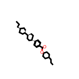 CCCC1CCC(OC(=O)c2ccc([C@H]3CC[C@H]([C@H]4CC[C@H](CCC)CC4)CC3)cc2)CC1